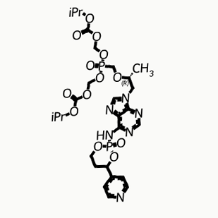 CC(C)OC(=O)OCOP(=O)(CO[C@H](C)Cn1cnc2c(NP3(=O)OCCC(c4ccncc4)O3)ncnc21)OCOC(=O)OC(C)C